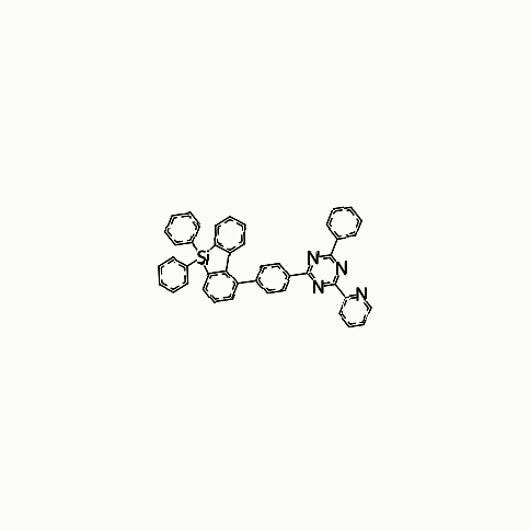 c1ccc(-c2nc(-c3ccc(-c4cccc5c4-c4ccccc4[Si]5(c4ccccc4)c4ccccc4)cc3)nc(-c3ccccn3)n2)cc1